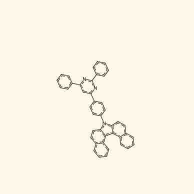 c1ccc(-c2cc(-c3ccc(-n4c5ccc6ccccc6c5c5c6ccccc6ccc54)cc3)nc(-c3ccccc3)n2)cc1